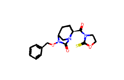 O=C([C@@H]1CCC2CN1C(=O)N2OCc1ccccc1)N1CCOC1=S